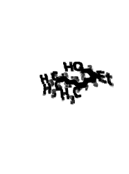 CCC(=CCO)CCC=C(C)CCC=C(C)C